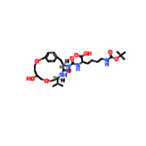 CC(C)[C@H]1COCC(O)CCOc2ccc(cc2)C[C@@H](NC(=O)NC(CCCCNC(=O)OC(C)(C)C)C(=O)O)C(=O)N1